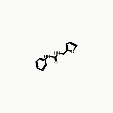 O=C(NCc1ccco1)Nc1ccccc1